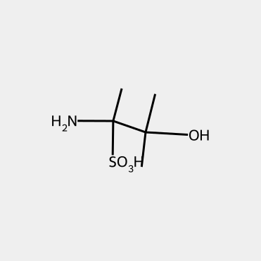 CC(C)(O)C(C)(N)S(=O)(=O)O